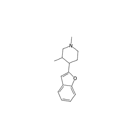 CC1CN(C)CCC1c1cc2ccccc2o1